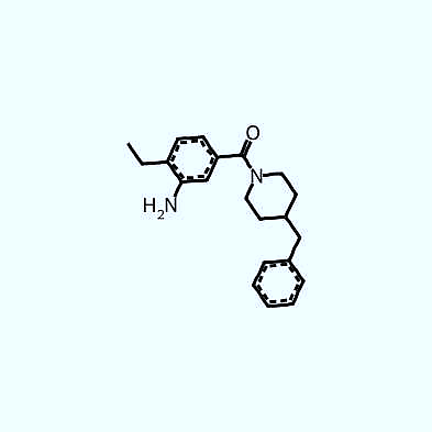 CCc1ccc(C(=O)N2CCC(Cc3ccccc3)CC2)cc1N